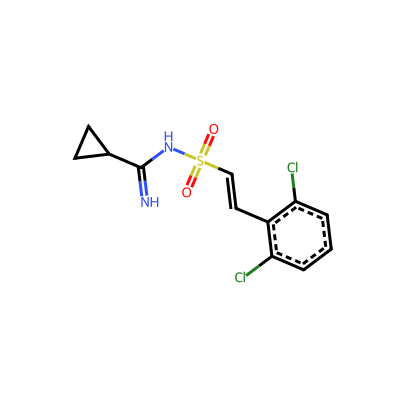 N=C(NS(=O)(=O)C=Cc1c(Cl)cccc1Cl)C1CC1